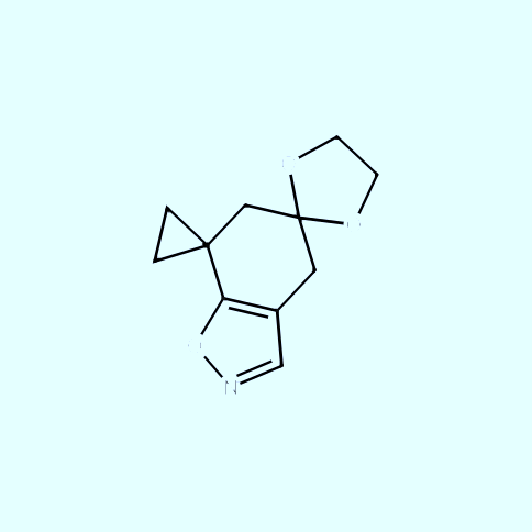 c1noc2c1CC1(CC23CC3)OCCO1